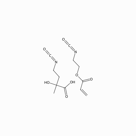 C=CC(=O)OCCN=C=O.CC(O)(CCN=C=O)C(=O)O